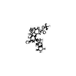 CC(C)(C)OC(=O)N1CCC([SH](C)(=O)c2cc(Cl)nc(Nc3nc4c(s3)CCC4)c2)CC1